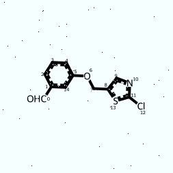 O=Cc1cccc(OCc2cnc(Cl)s2)c1